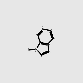 Cn1ccc2c[c]ncc21